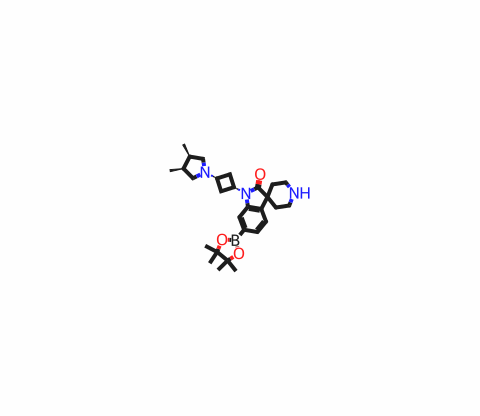 C[C@@H]1CN([C@H]2C[C@@H](N3C(=O)C4(CCNCC4)c4ccc(B5OC(C)(C)C(C)(C)O5)cc43)C2)C[C@@H]1C